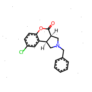 O=C1Oc2ccc(Cl)cc2[C@@H]2CN(Cc3ccccc3)C[C@H]12